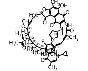 CO[C@H]1/C=C/O[C@@]2(C)Oc3c(C)c(O)c4c(c3C2=O)C(=O)C(N[C@@H]2CCN(c3cc5c(cc3F)c(=O)c(C)cn5C3CC3)C2)=C(NC(=O)/C(C)=C\C=C\[C@H](C)[C@H](O)[C@@H](C)[C@@H](O)[C@@H](C)[C@H](OC(C)=O)[C@@H]1C)C4=O